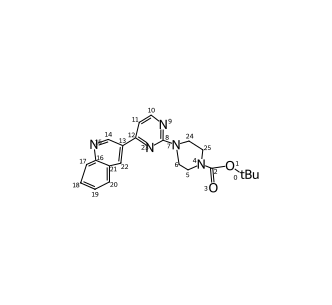 CC(C)(C)OC(=O)N1CCN(c2nccc(-c3cnc4ccccc4c3)n2)CC1